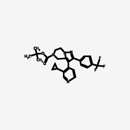 CC(C)(C)OC(=O)N1CCn2nc(-c3ccc(C(F)(F)F)cc3)c(-c3ccncc3C3CC3)c2C1